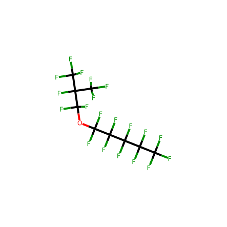 FC(F)(F)C(F)(F)C(F)(F)C(F)(F)C(F)(F)OC(F)(F)C(F)(C(F)(F)F)C(F)(F)F